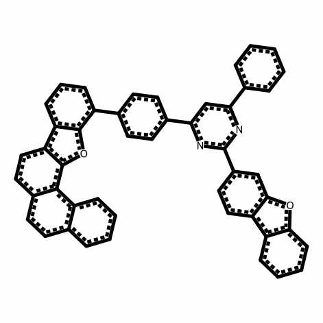 c1ccc(-c2cc(-c3ccc(-c4cccc5c4oc4c5ccc5ccc6ccccc6c54)cc3)nc(-c3ccc4c(c3)oc3ccccc34)n2)cc1